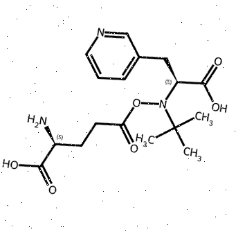 CC(C)(C)N(OC(=O)CC[C@H](N)C(=O)O)[C@@H](Cc1cccnc1)C(=O)O